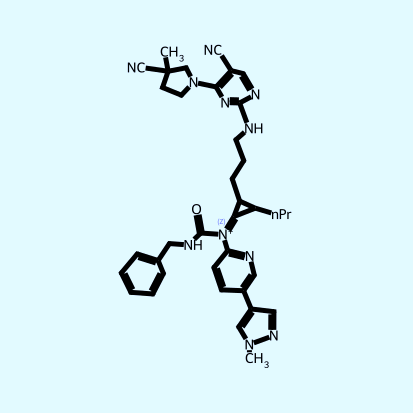 CCCC1/C(=[N+](/C(=O)NCc2ccccc2)c2ccc(-c3cnn(C)c3)cn2)C1CCCNc1ncc(C#N)c(N2CCC(C)(C#N)C2)n1